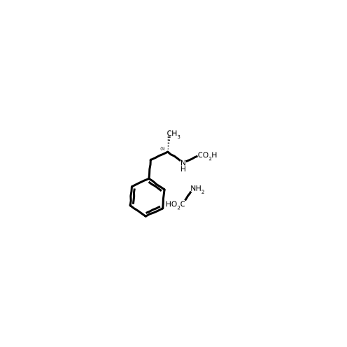 C[C@@H](Cc1ccccc1)NC(=O)O.NC(=O)O